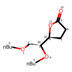 CCCCOC[C@@H](OCCCC)[C@@H]1CCC(=O)O1